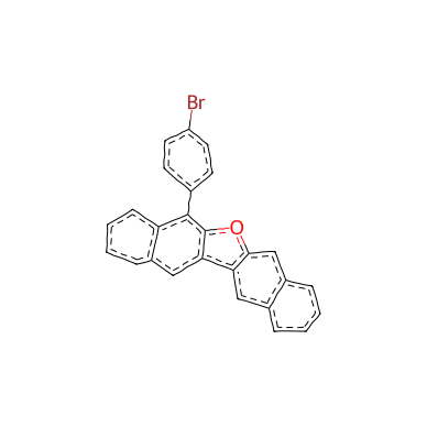 Brc1ccc(-c2c3ccccc3cc3c2oc2cc4ccccc4cc23)cc1